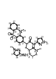 CN1CCCC(CC(C(=O)Nc2ccn(C)n2)c2ccc3c(c2)N(C)c2ccccc2S3(=O)=O)C1.Cn1ccc(N)n1